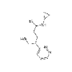 CCC(CCC(CO)c1cccnn1)NC1CC1